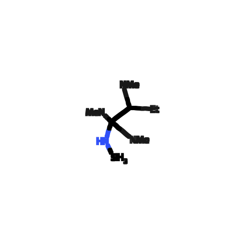 CCC(NC)C(NC)(NC)N[SiH3]